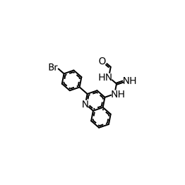 N=C(NC=O)Nc1cc(-c2ccc(Br)cc2)nc2ccccc12